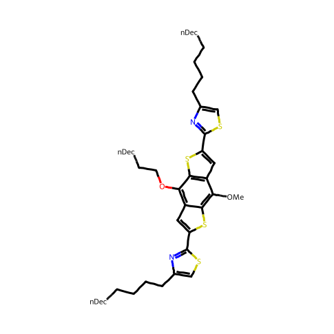 CCCCCCCCCCCCCCc1csc(-c2cc3c(OCCCCCCCCCCCC)c4sc(-c5nc(CCCCCCCCCCCCCC)cs5)cc4c(OC)c3s2)n1